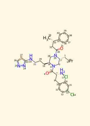 CC(C)C[C@@H]1CN(C(=O)[C@H](N)Cc2ccc(Cl)cc2Cl)[C@@H](CCCNc2nncs2)CN1C(=O)C[C@H](C)c1ccccc1